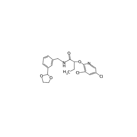 CCC(Oc1ncc(Cl)cc1Cl)C(=O)NCc1cccc(C2OCCO2)c1